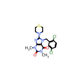 Cn1c(=O)c2c(nc(N3CCSCC3)n2Cc2cc(Cl)ccc2Cl)n(C)c1=O